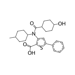 CC1CCC(N(C(=O)C2CCC(O)CC2)c2cc(-c3ccccc3)sc2C(=O)O)CC1